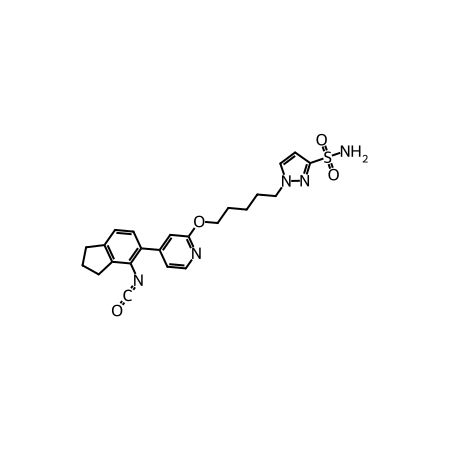 NS(=O)(=O)c1ccn(CCCCCOc2cc(-c3ccc4c(c3N=C=O)CCC4)ccn2)n1